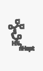 CCCCCCCCNC(=O)/C=C\SC(=O)C(Cl)Cl